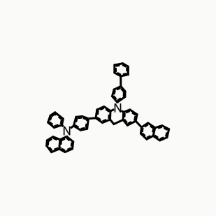 c1ccc(-c2ccc(N3c4ccc(-c5ccc(N(c6ccccc6)c6cccc7ccccc67)cc5)cc4Cc4cc(-c5ccc6ccccc6c5)ccc43)cc2)cc1